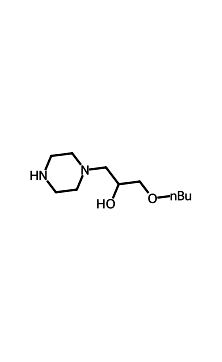 CCCCOCC(O)CN1CCNCC1